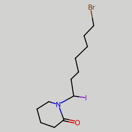 O=C1CCCCN1C(I)CCCCCCBr